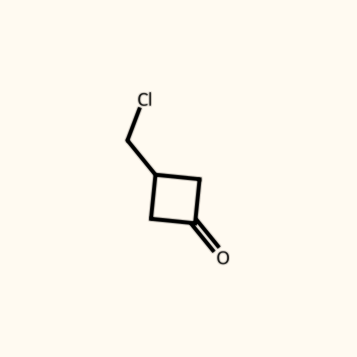 O=C1CC(CCl)C1